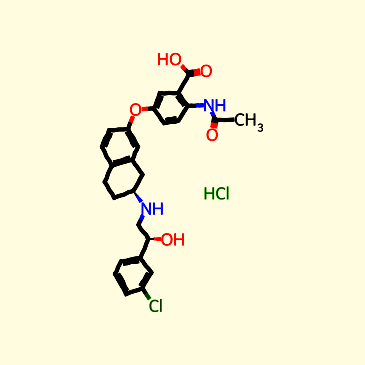 CC(=O)Nc1ccc(Oc2ccc3c(c2)C[C@@H](NC[C@@H](O)c2cccc(Cl)c2)CC3)cc1C(=O)O.Cl